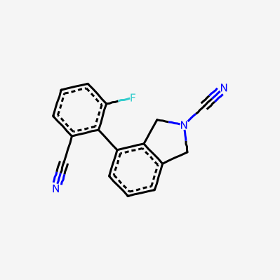 N#Cc1cccc(F)c1-c1cccc2c1CN(C#N)C2